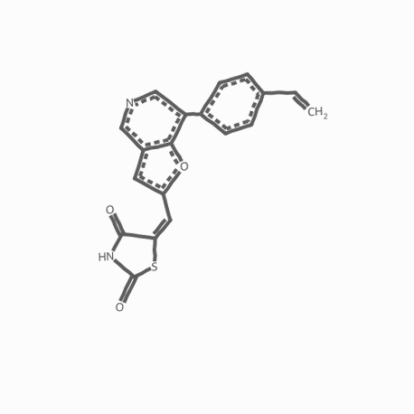 C=Cc1ccc(-c2cncc3cc(C=C4SC(=O)NC4=O)oc23)cc1